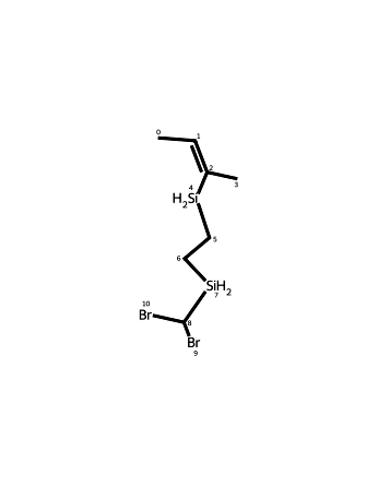 CC=C(C)[SiH2]CC[SiH2]C(Br)Br